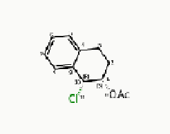 CC(=O)O[C@H]1CCc2ccccc2[C@H]1Cl